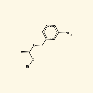 C=C(OCC)SCc1cccc(N)c1